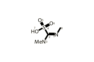 CN=C(NC)S(=O)(=O)O